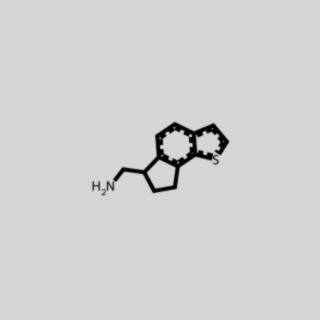 NCC1CCc2c1ccc1ccsc21